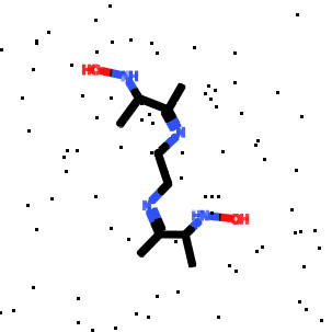 CC(=NCCN=C(C)C(C)NO)C(C)NO